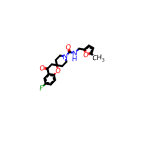 Cc1ccc(CNC(=O)N2CCC3(CC2)CC(=O)c2cc(F)ccc2O3)o1